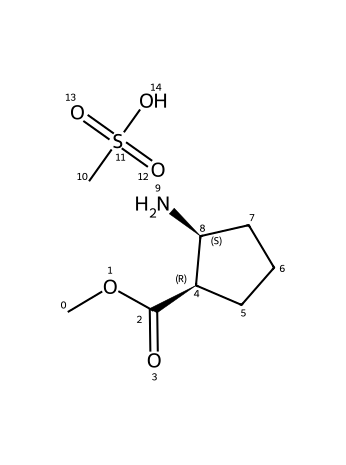 COC(=O)[C@@H]1CCC[C@@H]1N.CS(=O)(=O)O